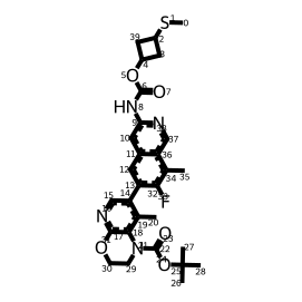 CSC1CC(OC(=O)Nc2cc3cc(-c4cnc5c(c4C)N(C(=O)OC(C)(C)C)CCO5)c(F)c(C)c3cn2)C1